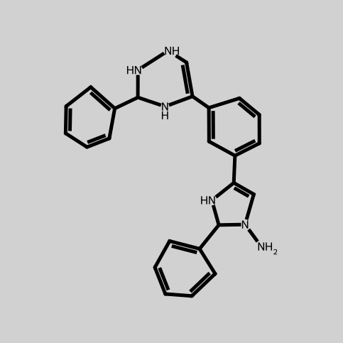 NN1C=C(c2cccc(C3=CNNC(c4ccccc4)N3)c2)NC1c1ccccc1